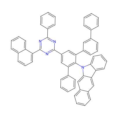 c1ccc(-c2cccc(-c3cc(-c4nc(-c5ccccc5)nc(-c5cccc6ccccc56)n4)cc(-c4ccccc4)c3-n3c4ccccc4c4cc5ccccc5cc43)c2)cc1